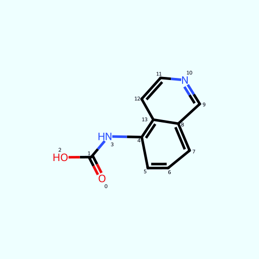 O=C(O)Nc1cccc2cnccc12